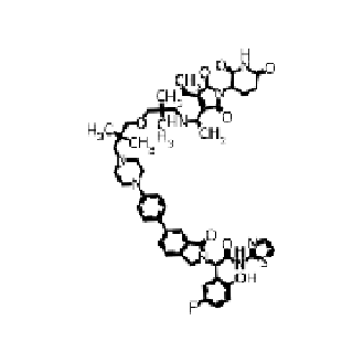 C=CC1=C(C(=C)NCC(C)(C)COCC(C)(C)CN2CCN(c3ccc(-c4ccc5c(c4)C(=O)N(C(C(=O)Nc4nccs4)c4cc(F)ccc4O)C5)cc3)CC2)C(=O)N(C2CCC(=O)NC2=O)C1=O